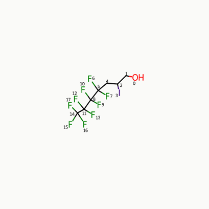 OCC(I)CC(F)(F)C(F)(F)C(F)(F)C(F)(F)F